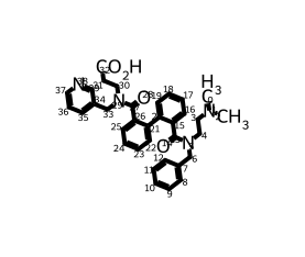 CN(C)CCN(Cc1ccccc1)C(=O)c1ccccc1-c1ccccc1C(=O)N(CCC(=O)O)Cc1cccnc1